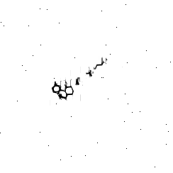 CN1CC[C@]23c4c5ccc(O)c4O[C@H]2[C@@H](NC(=O)COCC(=O)NCCCN(C(=O)O)C(C)(C)C)CC[C@@]3(O)C1C5